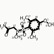 COc1cc(C)c(S(=O)(=O)N(C)CC(N)=O)c(C)c1